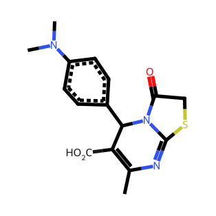 CC1=C(C(=O)O)C(c2ccc(N(C)C)cc2)N2C(=O)CSC2=N1